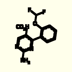 Nc1ncc(C(=O)O)c(-c2ccccc2OC(F)F)n1